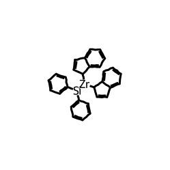 C1=C[CH]([Zr]([CH]2C=Cc3ccccc32)=[Si](c2ccccc2)c2ccccc2)c2ccccc21